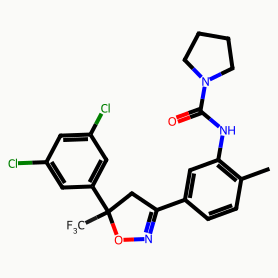 Cc1ccc(C2=NOC(c3cc(Cl)cc(Cl)c3)(C(F)(F)F)C2)cc1NC(=O)N1CCCC1